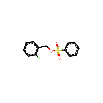 O=S(=O)(OCc1ccccc1F)c1ccccc1